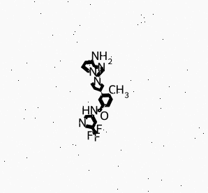 Cc1ccc(C(=O)Nc2cncc(C(F)(F)F)c2)cc1[C@@H]1CCN(c2cnc3c(N)cccn23)C1